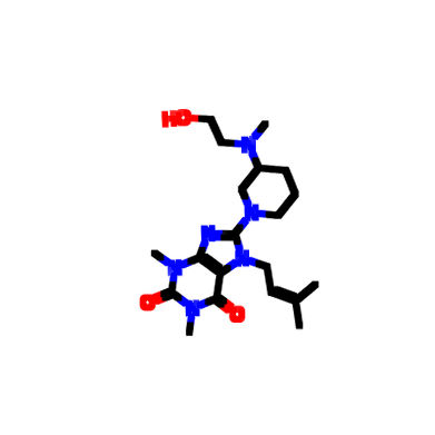 CC(C)=CCn1c(N2CCCC(N(C)CCO)C2)nc2c1c(=O)n(C)c(=O)n2C